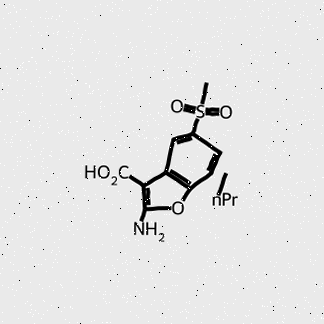 CCCC.CS(=O)(=O)c1ccc2oc(N)c(C(=O)O)c2c1